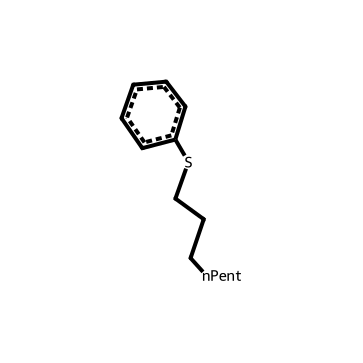 CCCCCCCCSc1ccccc1